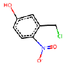 O=[N+]([O-])c1ccc(O)cc1CCl